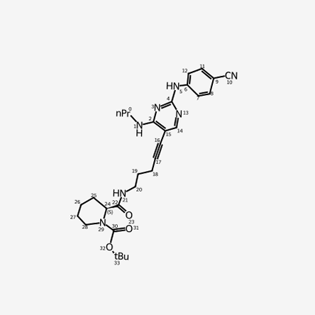 CCCNc1nc(Nc2ccc(C#N)cc2)ncc1C#CCCCNC(=O)[C@@H]1CCCCN1C(=O)OC(C)(C)C